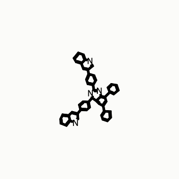 c1ccc(-c2cc(-c3ccccc3)c3nc(-c4ccc(-c5cnc6ccccc6c5)cc4)nc(-c4ccc(-c5cnc6ccccc6c5)cc4)c3c2)cc1